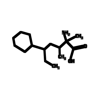 CCC(CC(C)C(C)(N)C(=O)O)C1CCCCC1